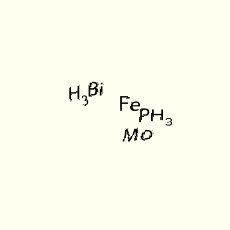 P.[BiH3].[Fe].[Mo]